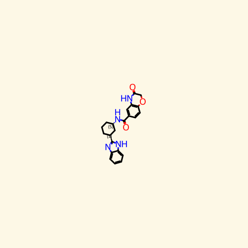 O=C1COc2ccc(C(=O)N[C@H]3CCC[C@H](c4nc5ccccc5[nH]4)C3)cc2N1